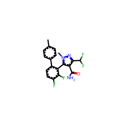 Cc1ccc(-c2ccc(F)c(F)c2-c2c(C(N)=O)c(C(F)F)nn2C)cc1